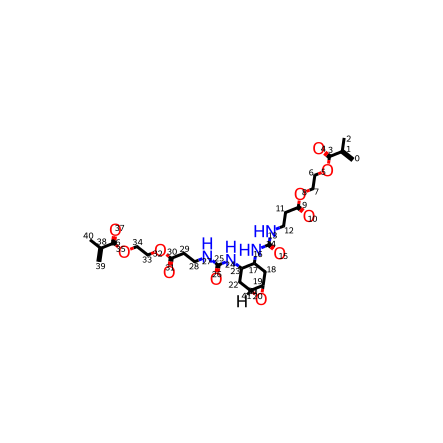 C=C(C)C(=O)OCCOC(=O)CCNC(=O)NC1CC2O[C@@H]2CC1NC(=O)NCCC(=O)OCCOC(=O)C(=C)C